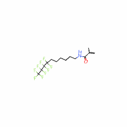 C=C(C)C(=O)NCCCCCCC(F)(F)C(F)(F)C(F)(F)C(F)(F)F